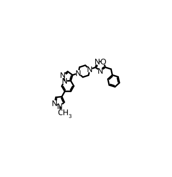 Cn1cc(-c2ccc3c(N4CCN(c5noc(Cc6ccccc6)n5)CC4)cnn3c2)cn1